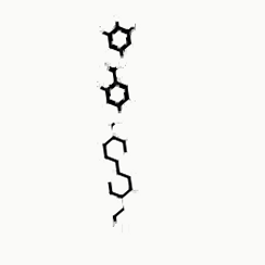 CCC[C@H]1CC[C@H]([C@H]2CC[C@H](COc3ccc(C(=O)Oc4cc(F)c(F)c(F)c4)c(F)c3)CC2)CC1